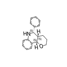 c1ccc([C@H]2Nc3ccccc3[C@H]3OCCC[C@@H]23)cc1